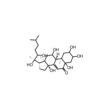 CC(C)CCC(O)[C@](C)(O)[C@H]1CC[C@@]2(O)C3=CC(=O)C4(O)CC(O)C(O)C[C@]4(C)[C@H]3C(O)C[C@]12C